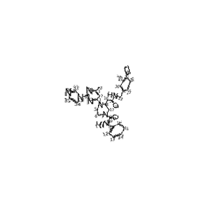 Cc1cc(N2CCN(C(=O)Nc3ccccc3)CC2CC(=O)NCc2ccc(Cl)cc2)nc(-n2ccnc2)n1